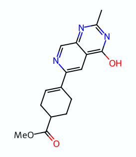 COC(=O)C1CC=C(c2cc3c(O)nc(C)nc3cn2)CC1